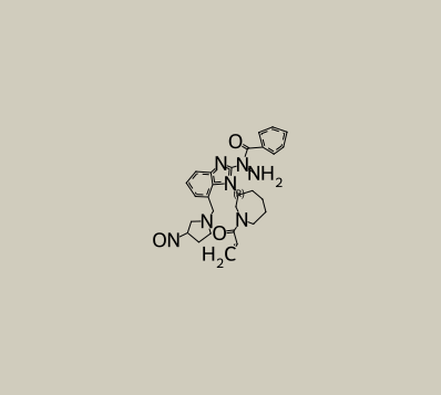 C=CC(=O)N1CCCC[C@@H](n2c(N(N)C(=O)c3ccccc3)nc3cccc(CN4CCC(N=O)C4)c32)C1